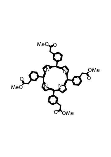 COC(=O)Cc1cccc(C2=C3C=CC(=N3)C(c3cccc(CC(=O)OC)c3)=C3C=CC(=N3)C(c3cccc(CC(=O)OC)c3)=C3C=CC(=N3)C(c3cccc(CC(=O)OC)c3)=C3C=CC2=N3)c1